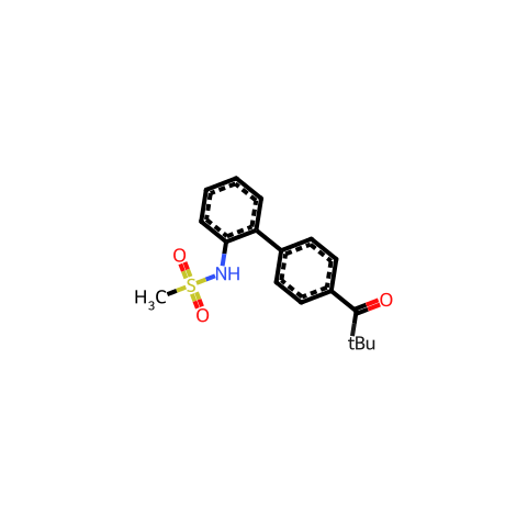 CC(C)(C)C(=O)c1ccc(-c2ccccc2NS(C)(=O)=O)cc1